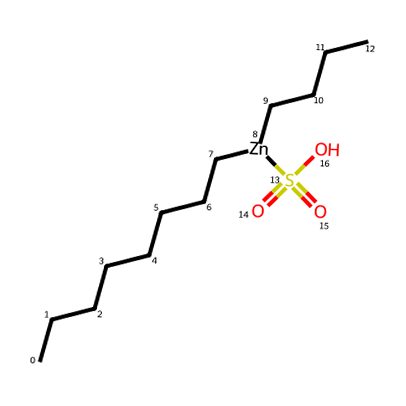 CCCCCCC[CH2][Zn]([CH2]CCC)[S](=O)(=O)O